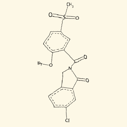 CC(C)Oc1ccc(S(C)(=O)=O)cc1C(=O)N1Cc2ccc(Cl)cc2C1=O